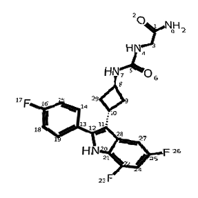 NC(=O)CNC(=O)N[C@H]1C[C@H](c2c(-c3ccc(F)cc3)[nH]c3c(F)cc(F)cc32)C1